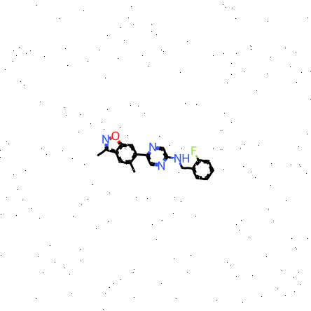 Cc1cc2c(C)noc2cc1-c1cnc(NCc2ccccc2F)cn1